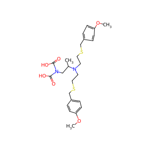 COc1ccc(CSCCN(CCSCc2ccc(OC)cc2)C(C)CN(C(=O)O)C(=O)O)cc1